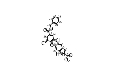 COC(=O)c1cc2ccc(Oc3c(Cl)cc(C(=O)OCc4ccccc4)cc3Cl)cc2[nH]1